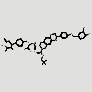 C=C/C=C(\C(C)=C(\C)N)c1ccc(C[C@H](NC(=O)[C@@H]2Cc3cc4c(cc3CN2C(=O)OCC(C)(C)C)OC(c2ccc(OCc3ccc(Cl)c(Cl)c3)cc2)CO4)C(=O)O)cc1